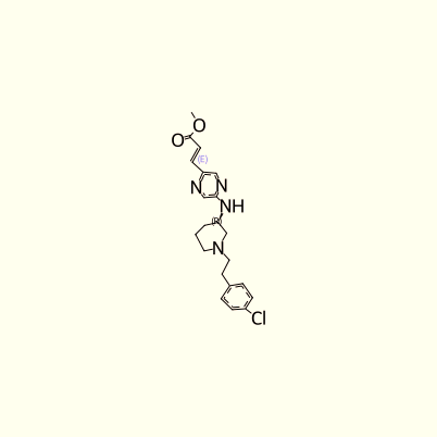 COC(=O)/C=C/c1cnc(N[C@@H]2CCCN(CCc3ccc(Cl)cc3)C2)cn1